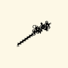 C#C[C@]1(COC(=O)C(C)C)O[C@@H](n2cnc3c(NC(=O)OCCCCCCCCCCCCCC)nc(Cl)nc32)C[C@@H]1OC(=O)C(C)C